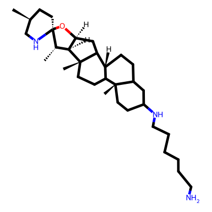 C[C@H]1CC[C@]2(NC1)O[C@H]1CC3[C@@H]4CCC5CC(NCCCCCCN)CC[C@]5(C)C4CC[C@]3(C)[C@H]1[C@@H]2C